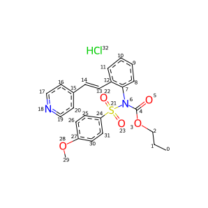 CCCOC(=O)N(c1ccccc1C=Cc1ccncc1)S(=O)(=O)c1ccc(OC)cc1.Cl